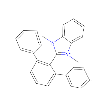 Cn1c(-c2c(-c3cc[c]cc3)cccc2-c2cc[c]cc2)[n+](C)c2ccccc21